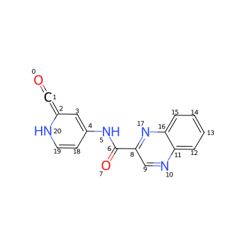 O=C=C1C=C(NC(=O)c2cnc3ccccc3n2)C=CN1